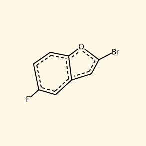 Fc1ccc2oc(Br)cc2c1